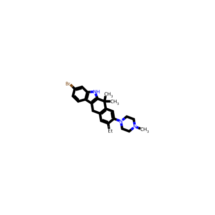 CCc1cc2c(cc1N1CCN(C)CC1)C(C)(C)c1[nH]c3cc(Br)ccc3c1C2